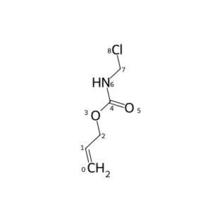 C=CCOC(=O)NCCl